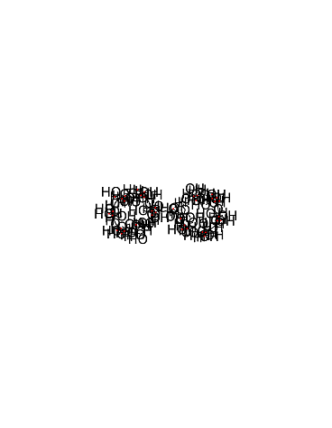 O=C(CCC(=O)O[C@@H]1[C@@H](O)[C@H]2O[C@H]3[C@H](O)[C@@H](O)[C@@H](O[C@H]4[C@H](O)[C@@H](O)[C@@H](O[C@H]5[C@H](O)[C@@H](O)[C@@H](O[C@H]6[C@H](O)[C@@H](O)[C@@H](O[C@H]7[C@H](O)[C@@H](O)[C@@H](O[C@H]1[C@@H](CO)O2)O[C@@H]7CO)O[C@@H]6CO)O[C@@H]5CO)O[C@@H]4CO)O[C@@H]3CO)O[C@@H]1[C@@H](O)[C@H]2O[C@H]3[C@H](O)[C@@H](O)[C@@H](O[C@H]4[C@H](O)[C@@H](O)[C@@H](O[C@H]5[C@H](O)[C@@H](O)[C@@H](O[C@H]6[C@H](O)[C@@H](O)[C@@H](O[C@H]7[C@H](O)[C@@H](O)[C@@H](O[C@H]1[C@@H](CO)O2)O[C@@H]7CO)O[C@@H]6CO)O[C@@H]5CO)O[C@@H]4CO)O[C@@H]3CO